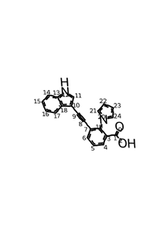 O=C(O)c1cccc(C#Cc2c[nH]c3ccccc23)c1-n1cccc1